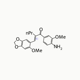 CCC/C(=C\c1cc2c(cc1OC)OCO2)C(=O)c1ccc(N)c(OC)c1